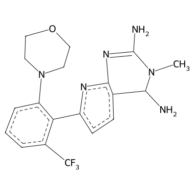 CN1C(N)=Nc2nc(-c3c(N4CCOCC4)cccc3C(F)(F)F)ccc2C1N